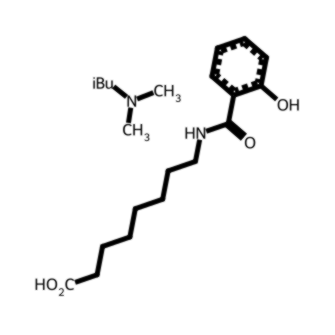 CCC(C)N(C)C.O=C(O)CCCCCCCNC(=O)c1ccccc1O